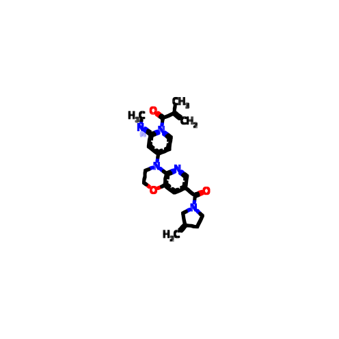 C=C1CCN(C(=O)c2cnc3c(c2)OCCN3c2ccn(C(=O)C(=C)C)/c(=N\C)c2)C1